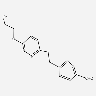 CC(C)CCOc1ccc(CCc2ccc(C=O)cc2)nn1